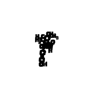 CC1(C)Cc2c(sc(NC(=O)c3ccc(N4CCC(O)CC4)cc3)c2C(=O)O)C(C)(C)C1